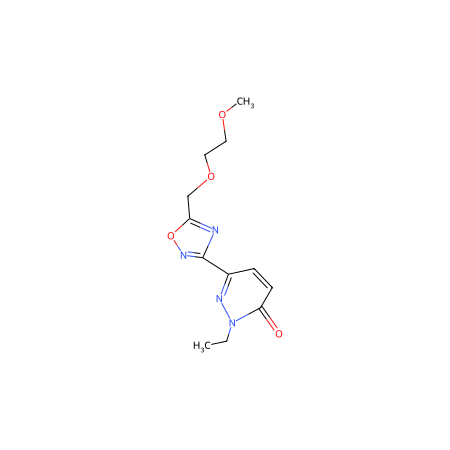 CCn1nc(-c2noc(COCCOC)n2)ccc1=O